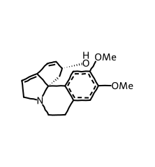 COc1cc2c(cc1OC)[C@]13C[C@@H](O)C=CC1=CCN3CC2